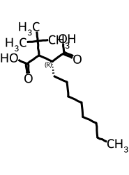 CCCCCCCC[C@@H](C(=O)O)C(C(=O)O)C(C)(C)C